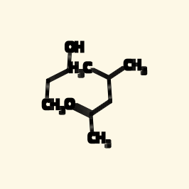 CC(=O)CC(C)C.CCCO